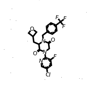 O=C1C(CC2COC2)N(Cc2ccc(C(F)(F)F)cc2)C(=O)CN1c1ncc(Cl)cc1F